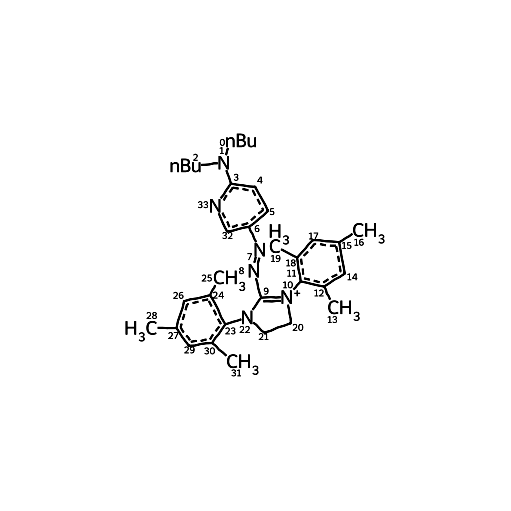 CCCCN(CCCC)c1ccc(/N=N/C2=[N+](c3c(C)cc(C)cc3C)CCN2c2c(C)cc(C)cc2C)cn1